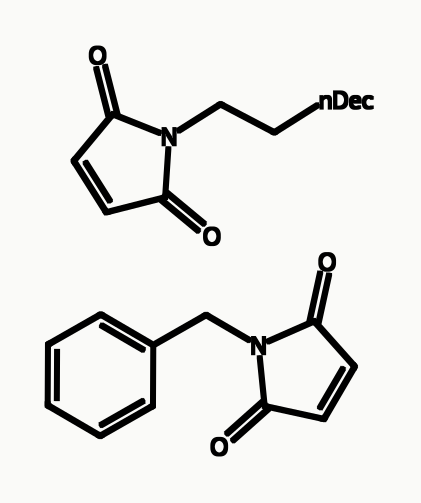 CCCCCCCCCCCCN1C(=O)C=CC1=O.O=C1C=CC(=O)N1Cc1ccccc1